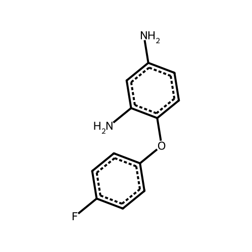 Nc1ccc(Oc2ccc(F)cc2)c(N)c1